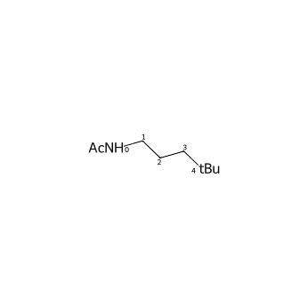 CC(=O)NCCCC(C)(C)C